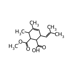 COC(=O)C1C(C)C(C)=CC(C=C(C)C)C1C(=O)O